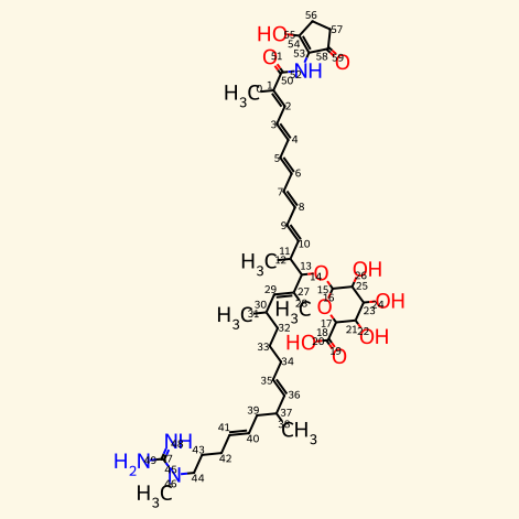 C\C(=C/C=C/C=C/C=C/C=C/C(C)C(OC1OC(C(=O)O)C(O)C(O)C1O)/C(C)=C/C(C)CCC/C=C/C(C)C/C=C/CCCN(C)C(=N)N)C(=O)NC1=C(O)CCC1=O